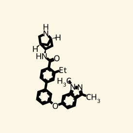 CCc1cc(-c2cccc(Oc3ccc4c(C)nn(C)c4c3)c2)ccc1C(=O)N[C@@H]1C[C@H]2C[C@@H]1CN2